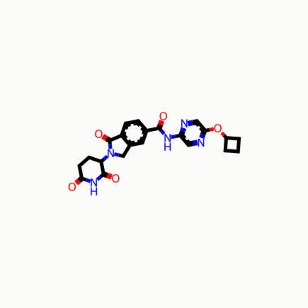 O=C1CCC(N2Cc3cc(C(=O)Nc4cnc(OC5CCC5)cn4)ccc3C2=O)C(=O)N1